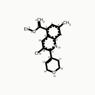 C=C(OCC)c1cc(C)cc2nc(C3=CCOCC3)c(Cl)cc12